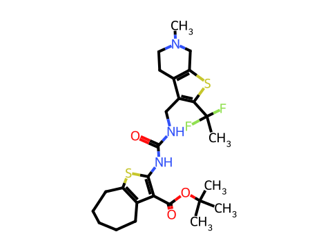 CN1CCc2c(sc(C(C)(F)F)c2CNC(=O)Nc2sc3c(c2C(=O)OC(C)(C)C)CCCCC3)C1